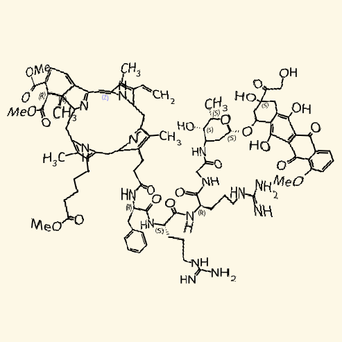 C=CC1=C(C)/C2=C/C3=NC(Cc4[nH]c(c(CCCCC(=O)OC)c4C)CC4N=C(CC1N2)C(C)=C4CCC(=O)N[C@H](Cc1ccccc1)C(=O)N[C@@H](CCCNC(=N)N)C(=O)N[C@H](CCCNC(=N)N)C(=O)NCC(=O)NC1C[C@@H](OC2C[C@](O)(C(=O)CO)Cc4c(O)c5c(c(O)c42)C(=O)c2c(OC)cccc2C5=O)O[C@@H](C)[C@H]1O)[C@@]1(C)C3=CC=C(C(=O)OC)[C@@H]1C(=O)OC